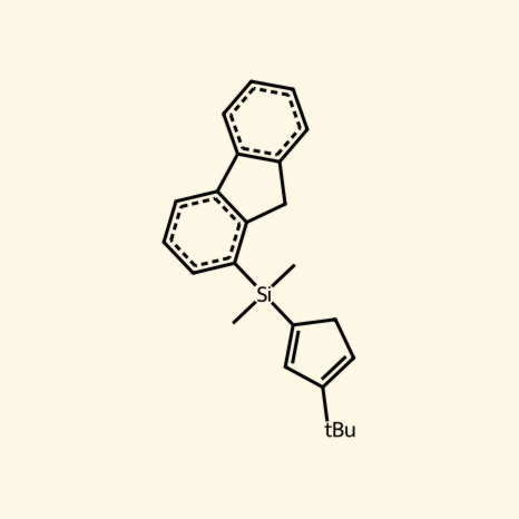 CC(C)(C)C1=CCC([Si](C)(C)c2cccc3c2Cc2ccccc2-3)=C1